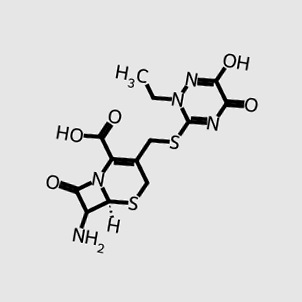 CCn1nc(O)c(=O)nc1SCC1=C(C(=O)O)N2C(=O)C(N)[C@@H]2SC1